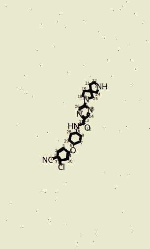 N#Cc1ccc(O[C@H]2CC[C@H](NC(=O)c3cnc(N4CCC5(CCNC5)C4)cn3)CC2)cc1Cl